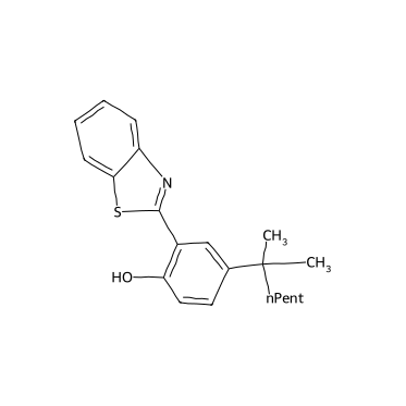 CCCCCC(C)(C)c1ccc(O)c(-c2nc3ccccc3s2)c1